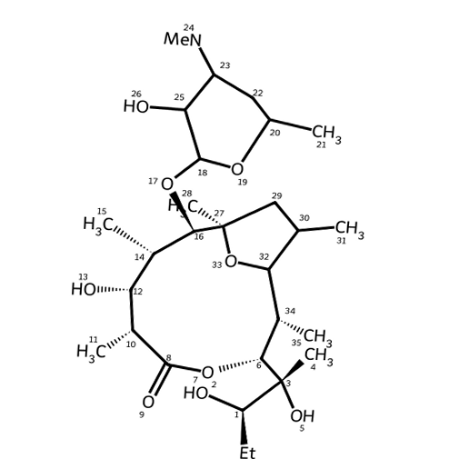 CC[C@@H](O)[C@@](C)(O)[C@@H]1OC(=O)[C@H](C)[C@H](O)[C@H](C)[C@@H](OC2OC(C)CC(NC)C2O)[C@@]2(C)CC(C)C(O2)[C@@H]1C